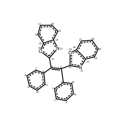 c1ccc(C(=C(c2ccccc2)c2nc3ccccc3o2)c2nc3ccccc3o2)cc1